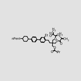 C=C(C)C(=O)OCC(CCc1ccc(-c2ccc(C3CCC(CCCCC)CC3)cc2)cc1CC)(COC(=O)C(=C)O)COC(=O)C(C)C